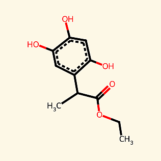 CCOC(=O)C(C)c1cc(O)c(O)cc1O